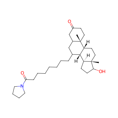 C[C@]12CCC(=O)CC1CC(CCCCCCCC(=O)N1CCCC1)[C@@H]1[C@H]2CC[C@]2(C)C(O)CC[C@@H]12